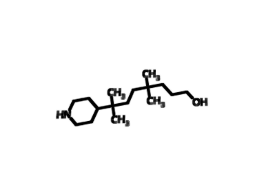 CC(C)(CCCO)CCC(C)(C)C1CCNCC1